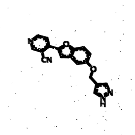 N#Cc1cnccc1-c1cc2cc(OCc3cn[nH]c3)ccc2o1